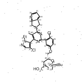 CCn1ncc(Cl)c1-c1nc(-c2cc(OC[C@@H](CN(C)C(=O)O)O[Si](C)(C)C(C)(C)C)ccc2Cl)nc(N2Cc3cccnc3C2)c1C